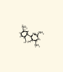 Nc1nc(N)c(F)c(-c2cc([N+](=O)[O-])ccc2F)n1